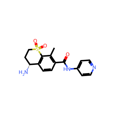 Cc1c(C(=O)Nc2ccncc2)ccc2c1S(=O)(=O)CC[C@H]2N